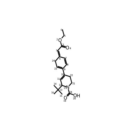 CCOC(=O)C=C1C=CC(C2=CC(C(C)(C)C)N(C(=O)O)CC2)=CC1